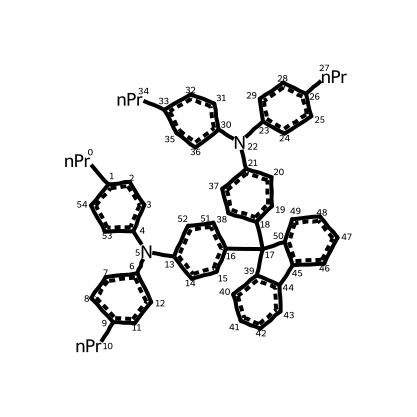 CCCc1ccc(N(c2ccc(CCC)cc2)c2ccc(C3(c4ccc(N(c5ccc(CCC)cc5)c5ccc(CCC)cc5)cc4)c4ccccc4-c4ccccc43)cc2)cc1